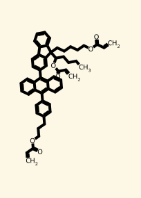 C=CC(=O)OCCCCCC1(C(CCCC)OC(=O)C=C)c2ccccc2-c2ccc(-c3c4ccccc4c(-c4ccc(CCCOC(=O)C=C)cc4)c4ccccc34)cc21